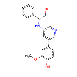 COc1cc(-c2cncc(N[C@@H](CO)c3ccccc3)c2)ccc1O